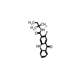 CCC(C)(C)NC(=O)c1cc2[nH]c3ccccc3c(=O)c2cc1F